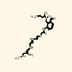 CCCC(C)N(C)Cc1c(C=O)cccc1NC(=O)COCCNCCN/C=C(\N)CNC